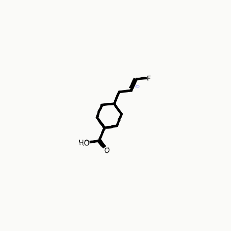 O=C(O)C1CCC(C/C=C/F)CC1